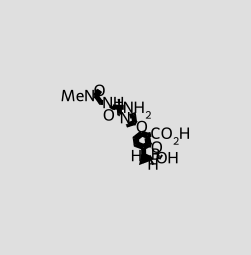 CNC(=O)CNC(=O)[C@](C)(N)CN1CC(Oc2ccc3c(c2C(=O)O)OB(O)[C@@H]2C[C@H]32)C1